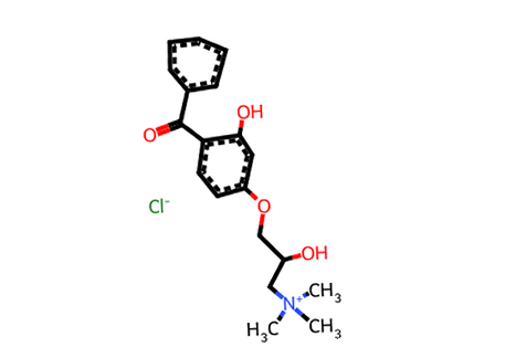 C[N+](C)(C)CC(O)COc1ccc(C(=O)c2ccccc2)c(O)c1.[Cl-]